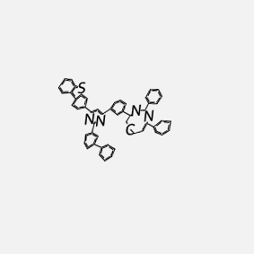 C1=C(c2ccccc2)/N=C(c2ccccc2)\N=C(\c2cccc(-c3cc(-c4ccc5c(c4)sc4ccccc45)nc(-c4cccc(-c5ccccc5)c4)n3)c2)CCC\1